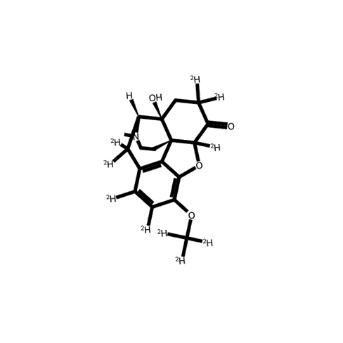 [2H]c1c([2H])c2c3c(c1OC([2H])([2H])[2H])OC1([2H])C(=O)C([2H])([2H])C[C@@]4(O)[C@H](N(C)CC[C@]314)C2([2H])[2H]